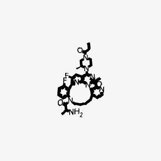 C=CC(=O)N1CCN(c2nc(=O)n3c4nc(c(F)cc24)-c2c(F)cccc2N(C(=O)C(C)N)CCCCc2ccnc(C(C)C)c2-3)[C@@H](C)C1